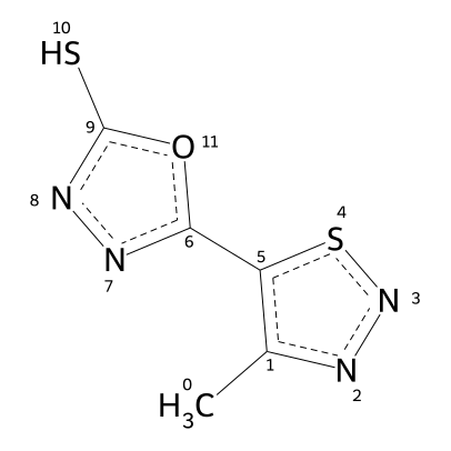 Cc1nnsc1-c1nnc(S)o1